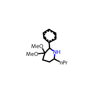 CCCC1CCC(OC)(OC)C(c2ccccc2)N1